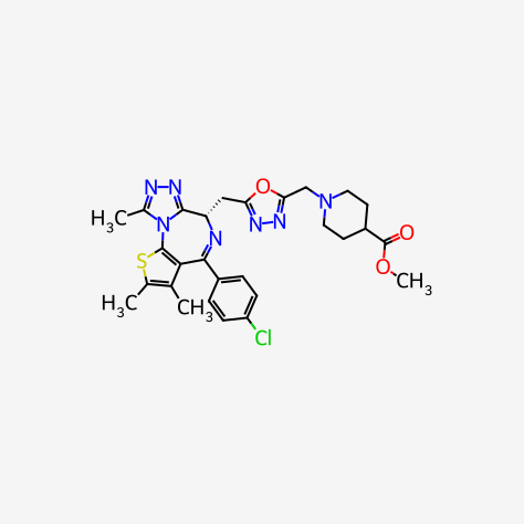 COC(=O)C1CCN(Cc2nnc(C[C@@H]3N=C(c4ccc(Cl)cc4)c4c(sc(C)c4C)-n4c(C)nnc43)o2)CC1